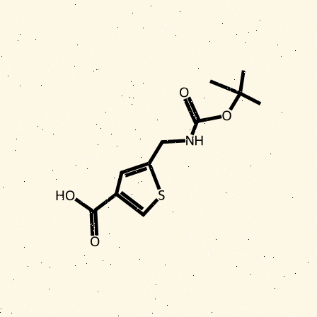 CC(C)(C)OC(=O)NCc1cc(C(=O)O)cs1